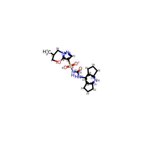 CC1COc2c(S(=O)(=O)NC(=O)Nc3c4c(nc5c3CCC5)CCC4)cnn2C1